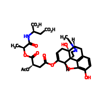 CC(=O)O[C@@H](CC(=O)OC1=CC[C@@]2(O)[C@H]3Cc4ccc(O)c5c4[C@@]2(CCN3C)[C@H]1O5)C(=O)O[C@@H](C)C(=O)N[C@H](CC(=O)O)C(=O)O